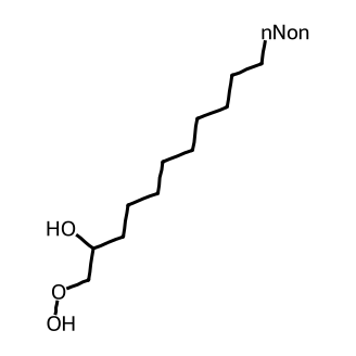 CCCCCCCCCCCCCCCCCCC(O)COO